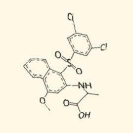 COc1cc(NC(C)C(=O)O)c(S(=O)(=O)c2cc(Cl)cc(Cl)c2)c2ccccc12